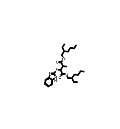 CCCCC(CC)COC(=O)C(C)C(Sc1nc2ccccc2[nH]1)C(=O)OCC(CC)CCCC